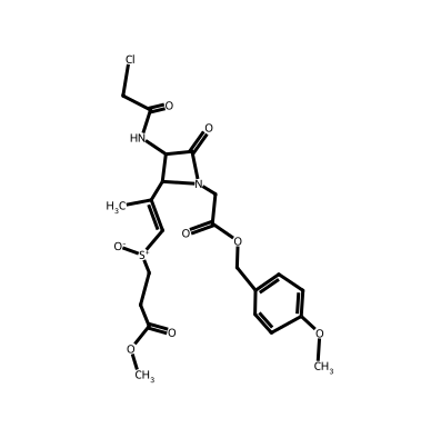 COC(=O)CC[S+]([O-])C=C(C)C1C(NC(=O)CCl)C(=O)N1CC(=O)OCc1ccc(OC)cc1